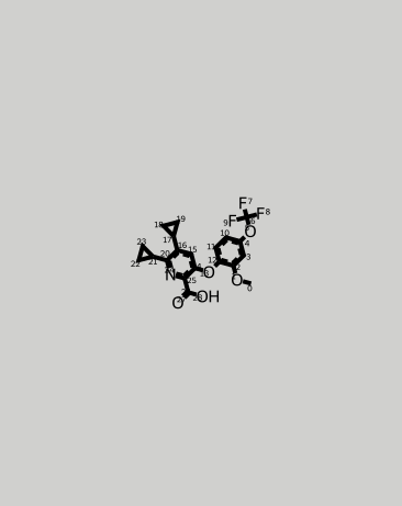 COc1cc(OC(F)(F)F)ccc1Oc1cc(C2CC2)c(C2CC2)nc1C(=O)O